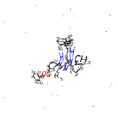 Cc1ccccc1-c1nc(C(C)Nc2cccc(C(=O)OCc3ccccc3)c2)c(CCC23CC4CC(CC(C4)C2)C3)[nH]1